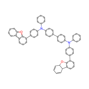 C1=CC2Oc3c(-c4ccc(N(c5ccccc5)c5ccc(-c6ccc(N(c7ccccc7)c7ccc(-c8cccc9c8oc8ccccc89)cc7)cc6)cc5)cc4)cccc3C2C=C1